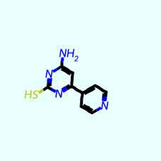 Nc1cc(-c2ccncc2)nc(S)n1